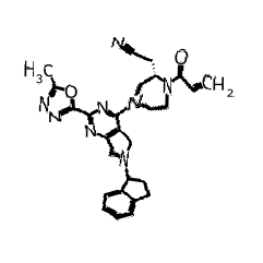 C=CC(=O)N1CCN(c2nc(-c3nnc(C)o3)nc3c2CN(C2CCc4ccccc42)C3)C[C@@H]1CC#N